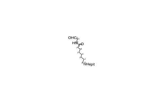 CCCCCCCCCCCCCCC(=O)NCC=O